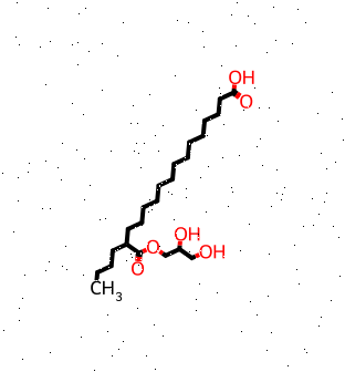 CCCCC(CCCCCCCCCCCCCC(=O)O)C(=O)OCC(O)CO